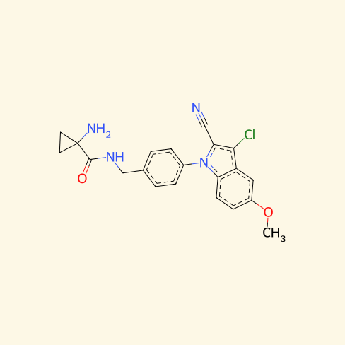 COc1ccc2c(c1)c(Cl)c(C#N)n2-c1ccc(CNC(=O)C2(N)CC2)cc1